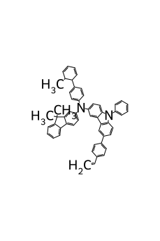 C=Cc1ccc(-c2ccc3c(c2)c2cc(N(c4ccc(C5C=CC=CC5C)cc4)c4ccc5c(c4)C(C)(C)c4ccccc4-5)ccc2n3-c2ccccc2)cc1